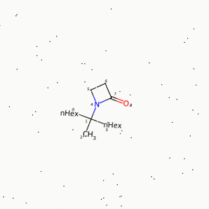 CCCCCCC(C)(CCCCCC)N1CCC1=O